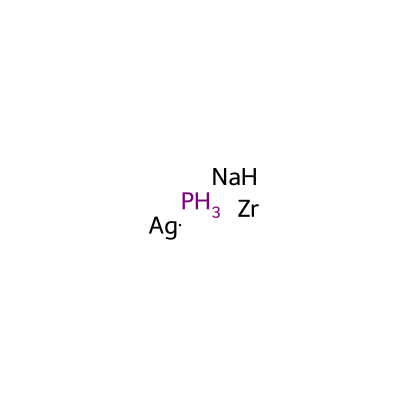 P.[Ag].[NaH].[Zr]